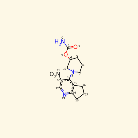 NC(=O)OC1CCCN(c2c([N+](=O)[O-])cnc3c2CCC3)C1